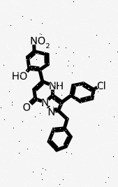 O=c1cc(-c2ccc([N+](=O)[O-])cc2O)[nH]c2c(-c3ccc(Cl)cc3)c(Cc3ccccc3)nn12